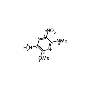 CNc1nc(OC)c(N)cc1[N+](=O)[O-]